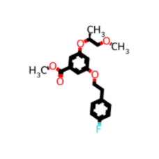 COC[C@H](C)Oc1cc(OCCc2ccc(F)cc2)cc(C(=O)OC)c1